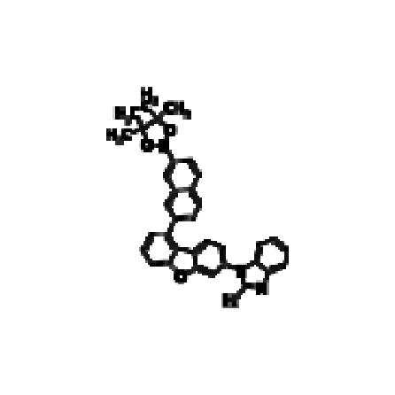 CCc1nc2ccccc2n1-c1ccc2c(c1)oc1cccc(-c3ccc4ccc(B5OC(C)(C)C(C)(C)O5)cc4c3)c12